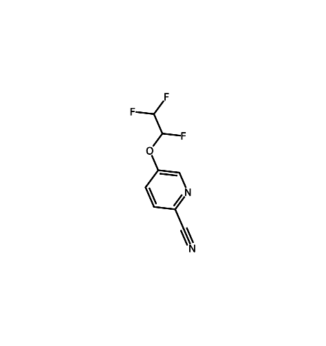 N#Cc1ccc(OC(F)C(F)F)cn1